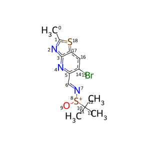 Cc1nc2nc(/C=N/[S+]([O-])C(C)(C)C)c(Br)cc2s1